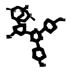 C[C@@H]1C[C@@H]2C[C@H](C)CC(c3cc(C#N)cc(-c4nc(-c5ccc(C(C)(C)C)cc5)nc(-c5ccc(C(C)(C)C)cc5)n4)c3)(C1)C2